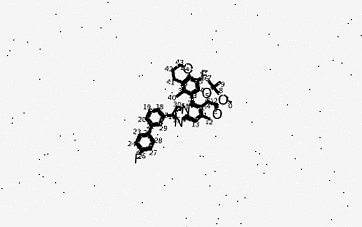 COC(=O)[C@@H](OC(C)(C)C)c1c(C)cc2nc(-c3cccc(-c4ccc(F)cc4)c3)cn2c1-c1cc(F)c2c(c1C)CCCO2